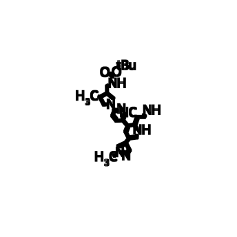 CC1CN(c2ccc(C3=CC(c4cnn(C)c4)=CN/C3=C(/C#N)C=N)cn2)CC1CNC(=O)OC(C)(C)C